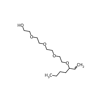 C=CC(CCCC)OCCOCCOCCOCCO